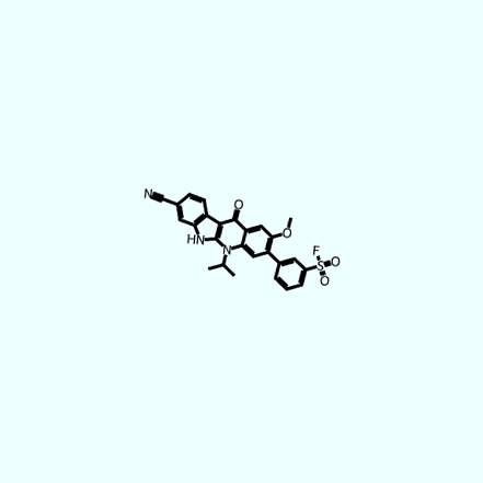 COc1cc2c(=O)c3c4ccc(C#N)cc4[nH]c3n(C(C)C)c2cc1-c1cccc(S(=O)(=O)F)c1